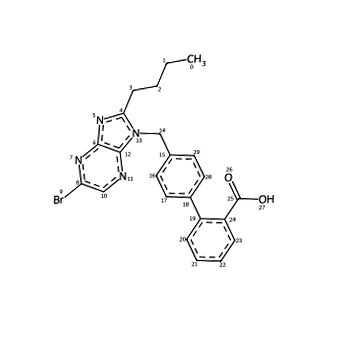 CCCCc1nc2nc(Br)cnc2n1Cc1ccc(-c2ccccc2C(=O)O)cc1